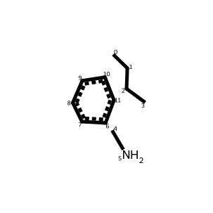 CCCC.CN.c1ccccc1